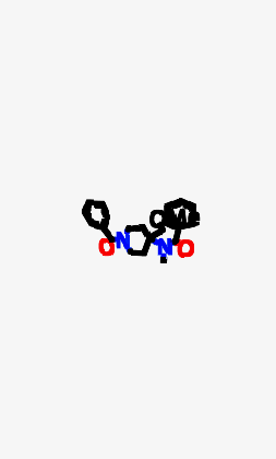 COCC1(N(C)C(=O)c2ccccc2)CCN(C(=O)c2ccccc2)CC1